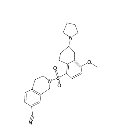 COc1ccc(S(=O)(=O)N2CCc3ccc(C#N)cc3C2)c2c1C[C@@H](N1CCCC1)CC2